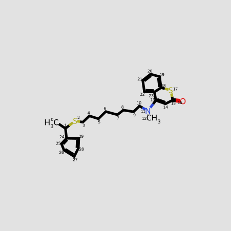 CC(SCCCCCCCCN(C)c1cc(=O)sc2ccccc12)c1ccccc1